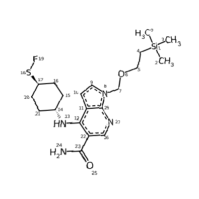 C[Si](C)(C)CCOCn1ccc2c(N[C@H]3CC[C@H](SF)CC3)c(C(N)=O)cnc21